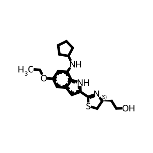 CCOc1cc(NC2CCCC2)c2[nH]c(C3=N[C@@H](CCO)CS3)cc2c1